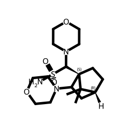 CC1(C)[C@@H]2CC[C@@]1(C(N1CCOCC1)S(N)(=O)=O)C(N1CCOCC1)C2